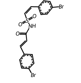 O=C(/C=C/c1ccc(Br)cc1)NS(=O)(=O)/C=C\c1ccc(Br)cc1